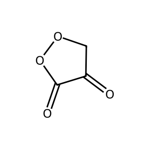 O=C1COOC1=O